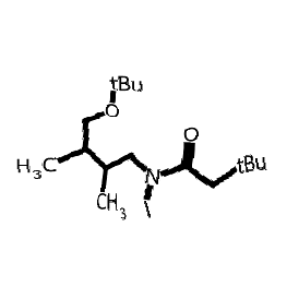 CC(COC(C)(C)C)C(C)CN(I)C(=O)CC(C)(C)C